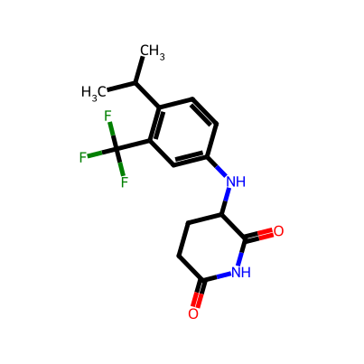 CC(C)c1ccc(NC2CCC(=O)NC2=O)cc1C(F)(F)F